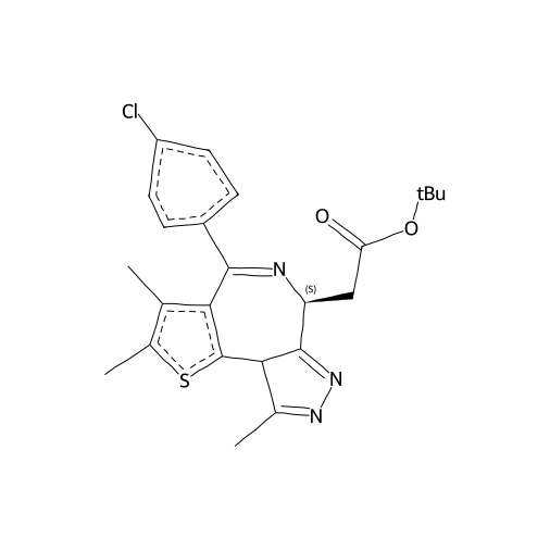 CC1=NN=C2C1c1sc(C)c(C)c1C(c1ccc(Cl)cc1)=N[C@H]2CC(=O)OC(C)(C)C